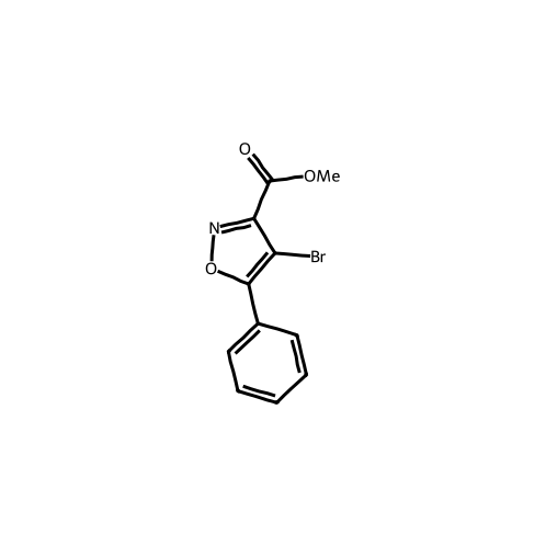 COC(=O)c1noc(-c2ccccc2)c1Br